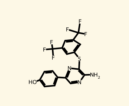 Nc1ncc(-c2ccc(O)cc2)nc1Sc1cc(C(F)(F)F)cc(C(F)(F)F)c1